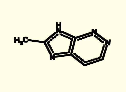 Cc1nc2ccnnc2[nH]1